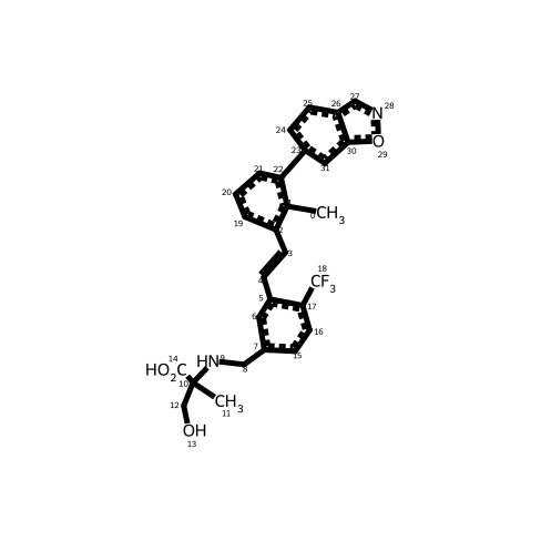 Cc1c(C=Cc2cc(CNC(C)(CO)C(=O)O)ccc2C(F)(F)F)cccc1-c1ccc2cnoc2c1